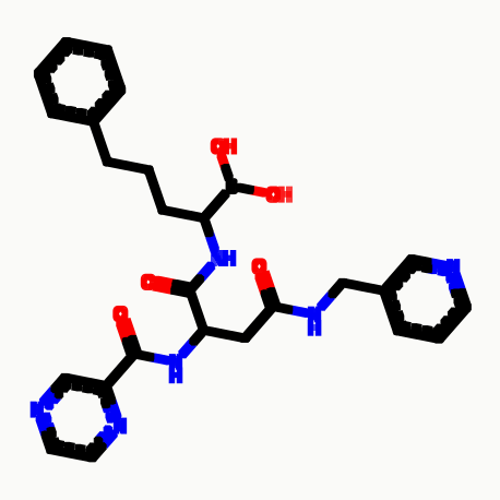 O=C(CC(NC(=O)c1cnccn1)C(=O)NC(CCCc1ccccc1)B(O)O)NCc1cccnc1